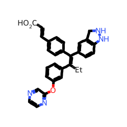 CC/C(=C(/c1ccc(/C=C/C(=O)O)cc1)c1ccc2c(c1)CNN2)c1cccc(Oc2cnccn2)c1